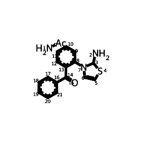 CC(N)=O.NC1SC=CN1c1ccccc1C(=O)c1ccccc1